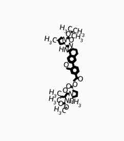 COC(=O)N[C@H](C(=O)N1[C@@H](C)CC[C@H]1C(=O)OCC(=O)c1ccc2c(c1)COc1cc3c(cc1-2)CCc1nc([C@@H]2C[C@H](C)CN2C(=O)OC(C)(C)C)[nH]c1-3)C(C)C